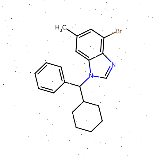 Cc1cc(Br)c2ncn(C(c3ccccc3)C3CCCCC3)c2c1